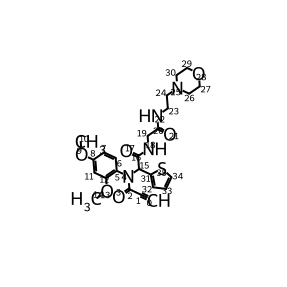 C#CC(=O)N(c1ccc(OC)cc1OC)C(C(=O)NCC(=O)NCCN1CCOCC1)c1cccs1